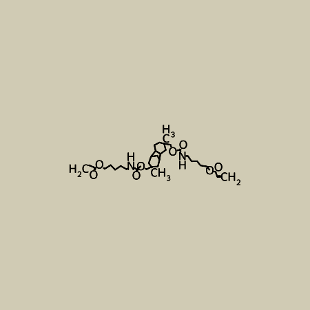 C=CC(=O)OCCCCCNC(=O)OCC1(C)CC2CC(C1)C1CC(C)(COC(=O)NCCCCCOC(=O)C=C)CCC21